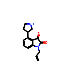 C=CCN1C(=O)C(=O)c2c(C3CCNC3)cccc21